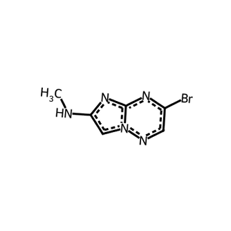 CNc1cn2ncc(Br)nc2n1